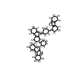 c1ccc(-n2c3c(-c4ccc5c(c4)c4ccccc4n5-c4ccc(-c5cccc6c5oc5ccccc56)cc4)cccc3n3c4ccccc4nc23)cc1